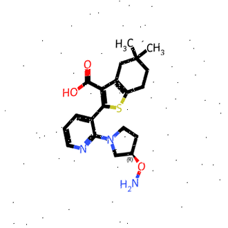 CC1(C)CCc2sc(-c3cccnc3N3CC[C@@H](ON)C3)c(C(=O)O)c2C1